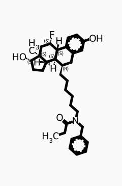 CCC(=O)N(CCCCCC[C@@H]1Cc2cc(O)ccc2[C@@H]2[C@@H]1[C@@H]1CC[C@H](O)[C@@]1(C)C[C@@H]2F)Cc1ccccc1